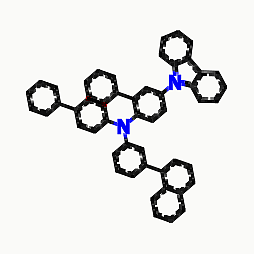 c1ccc(-c2ccc(N(c3cccc(-c4cccc5ccccc45)c3)c3ccc(-n4c5ccccc5c5ccccc54)cc3-c3ccccc3)cc2)cc1